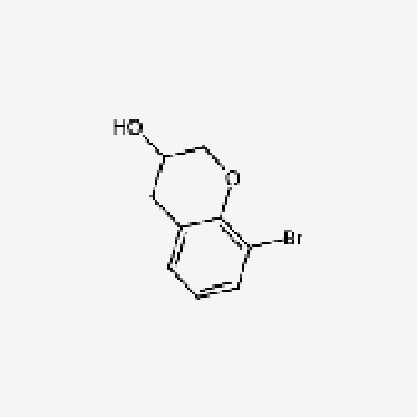 OC1COc2c(Br)cccc2C1